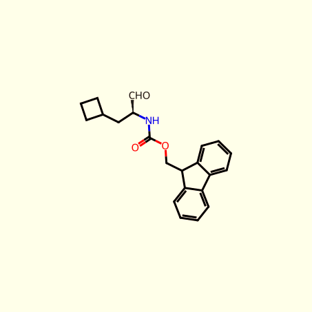 O=C[C@H](CC1CCC1)NC(=O)OCC1c2ccccc2-c2ccccc21